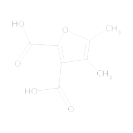 Cc1oc(C(=O)O)c(C(=O)O)c1C